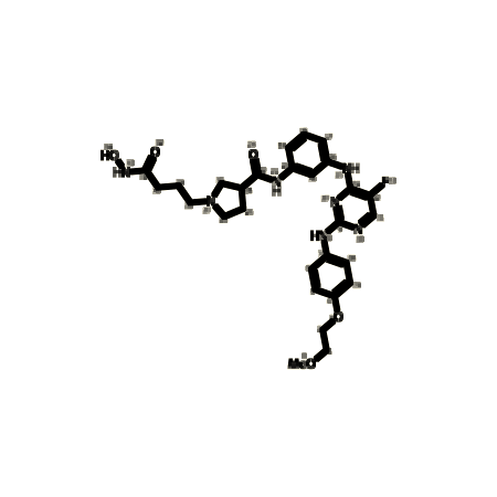 COCCOc1ccc(Nc2ncc(F)c(Nc3cccc(NC(=O)C4CCN(CCCC(=O)NO)C4)c3)n2)cc1